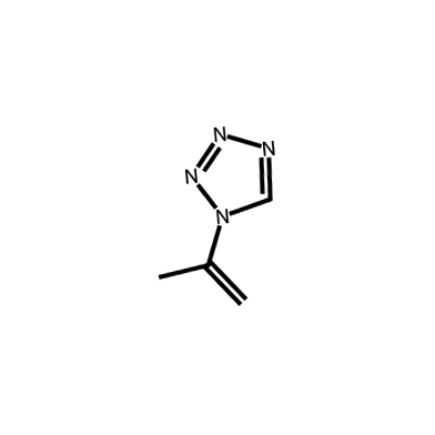 C=C(C)n1cnnn1